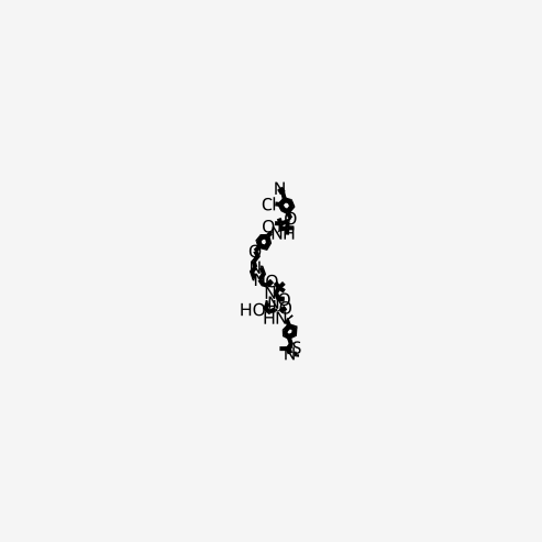 Cc1ncsc1-c1ccc([C@H](C)NC(=O)[C@@H]2C[C@@H](O)CN2C(=O)[C@@H](NC(=O)CN2CCN(CCOc3ccc(C(=O)N[C@H]4C(C)(C)[C@H](Oc5ccc(C#N)c(Cl)c5)C4(C)C)cc3)CC2)C(C)(C)C)cc1